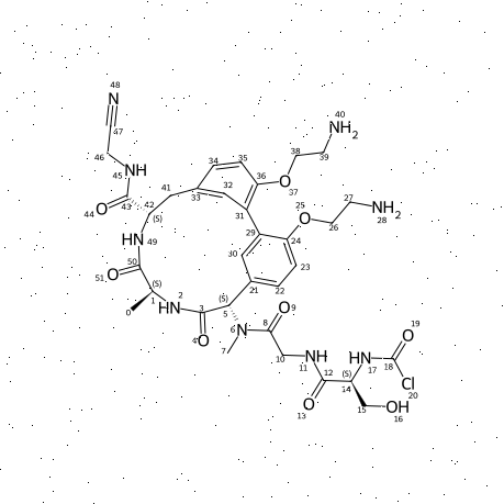 C[C@@H]1NC(=O)[C@@H](N(C)C(=O)CNC(=O)[C@H](CO)NC(=O)Cl)c2ccc(OCCN)c(c2)-c2cc(ccc2OCCN)C[C@@H](C(=O)NCC#N)NC1=O